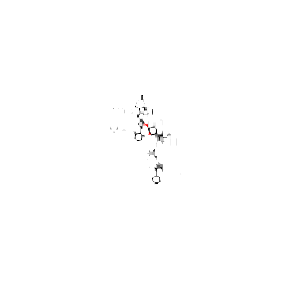 C=C1CC(CC)CC(C)C1(NC(=O)c1cc(-c2c(OC)cccc2OC)n(-c2ccc(C(=O)N(C)CCCN(C)CCCN(C)C(=O)c3ccc(F)cc3)cc2C(C)C)n1)C(=O)O